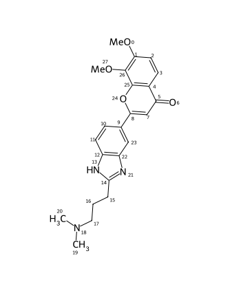 COc1ccc2c(=O)cc(-c3ccc4[nH]c(CCCN(C)C)nc4c3)oc2c1OC